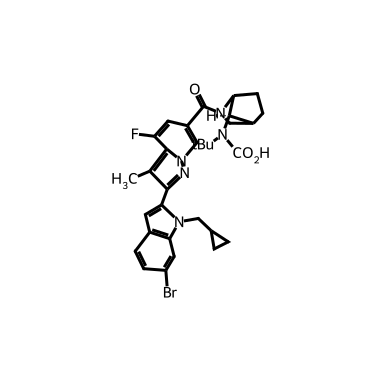 Cc1c(-c2cc3ccc(Br)cc3n2CC2CC2)nn2cc(C(=O)N3CC4CCC3[C@@H]4N(C(=O)O)C(C)(C)C)cc(F)c12